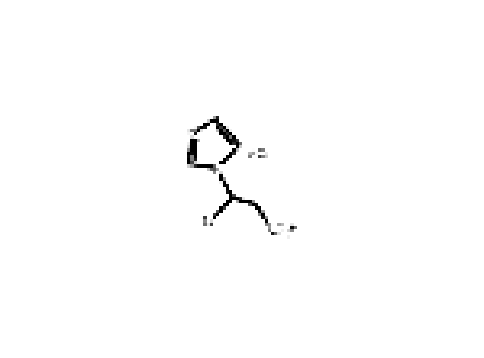 CCC(CC(=O)O)n1ccnc1.Cl